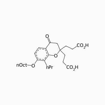 CCCCCCCCOc1ccc2c(c1CCC)OC(CCC(=O)O)(CCC(=O)O)CC2=O